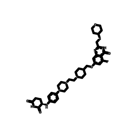 O=C1CC[C@@H](Nc2ccc(N3CCN(CCN4CCC(COc5cc(F)c6c(=O)[nH]c(CSC7CCOCC7)nc6c5)CC4)CC3)cc2)C(=O)N1